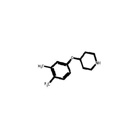 Cc1cc(OC2CCNCC2)ccc1C(F)(F)F